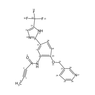 CC#CC(=O)Nc1cc(-c2ncc(C(F)(F)F)[nH]2)ccc1OCc1cccnc1